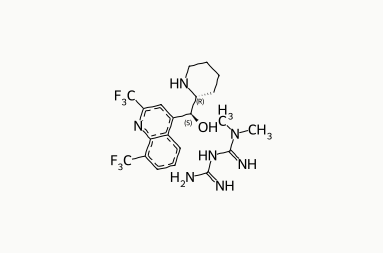 CN(C)C(=N)NC(=N)N.O[C@@H](c1cc(C(F)(F)F)nc2c(C(F)(F)F)cccc12)[C@H]1CCCCN1